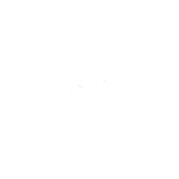 Cc1cc(C)c(-c2csc(C(C)(C)C)n2)c(C)c1